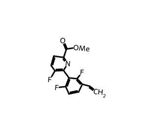 C=Cc1ccc(F)c(-c2nc(C(=O)OC)ccc2F)c1F